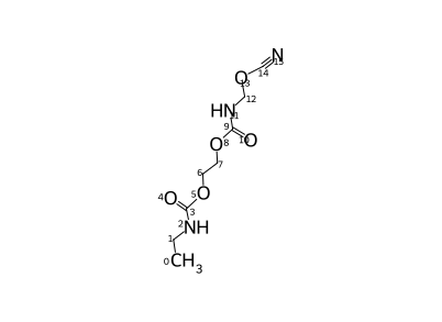 CCNC(=O)OCCOC(=O)NCOC#N